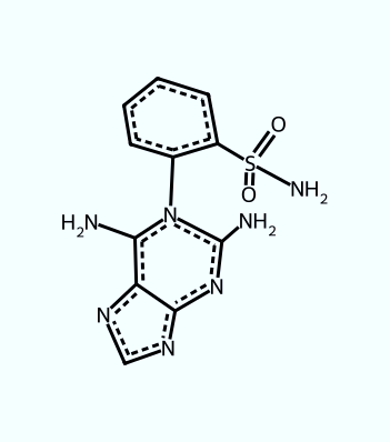 Nc1nc2ncnc-2c(N)n1-c1ccccc1S(N)(=O)=O